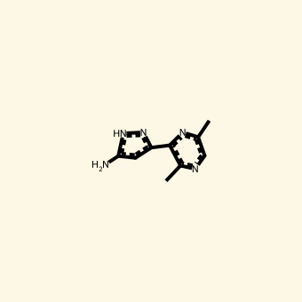 Cc1cnc(C)c(-c2cc(N)[nH]n2)n1